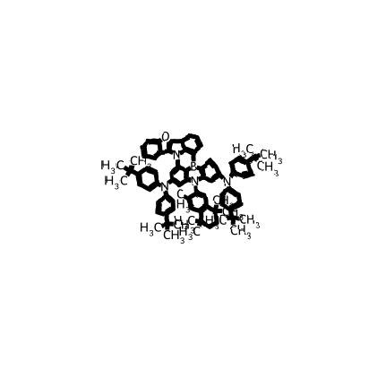 Cc1cc2c(cc1N1c3cc(N(c4ccc(C(C)(C)C)cc4)c4ccc(C(C)(C)C)cc4)ccc3B3c4c1cc(N(c1ccc(C(C)(C)C)cc1)c1ccc(C(C)(C)C)cc1)cc4-n1c4c3cccc4c3oc4ccccc4c31)C(C)(C)CCC2(C)C